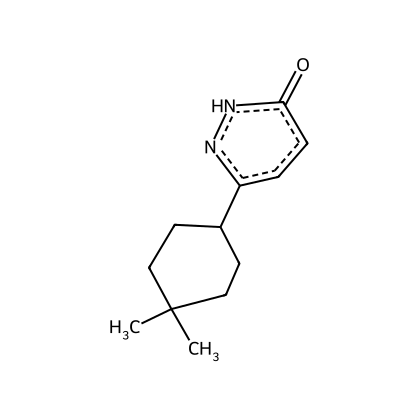 CC1(C)CCC(c2ccc(=O)[nH]n2)CC1